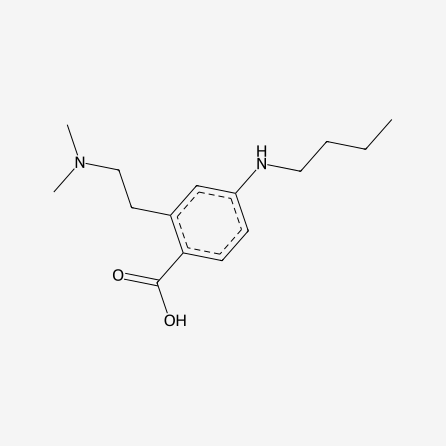 CCCCNc1ccc(C(=O)O)c(CCN(C)C)c1